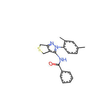 Cc1ccc(-n2nc3c(c2NC(=O)c2ccccc2)CSC3)c(C)c1